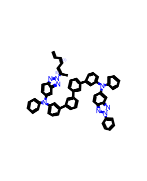 C=C/C=C\C=C(/C)n1nc2ccc(N(c3ccccc3)c3cccc(-c4cccc(-c5cccc(-c6cccc(N(c7ccccc7)c7ccc8nn(-c9ccccc9)nc8c7)c6)c5)c4)c3)cc2n1